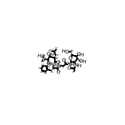 CC(=O)N[C@H]1C(NC(=O)CNC(=O)[C@H](Cc2ccccc2)NC(=O)[C@H](CC(C)C)[C@H](O)C(=O)N(C)O)O[C@H](CO)[C@@H](O)[C@@H]1O